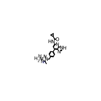 C/C(=N/N)N(N)Cc1ccc(-c2cc(NC(=O)C3CC3)nc3[nH]cnc23)cc1